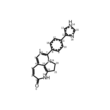 O=C1C=CC2=CN=C(c3ccc(-c4c[nH]cn4)cc3)N3CCC(=C23)N1